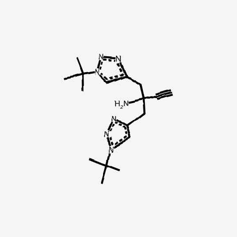 C#CC(N)(Cc1cn(C(C)(C)C)nn1)Cc1cn(C(C)(C)C)nn1